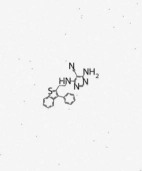 N#Cc1c(N)ncnc1NCCc1sc2ccccc2c1-c1ccccc1